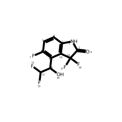 O=C1Nc2ccc(F)c(C(O)C(F)F)c2C1(F)F